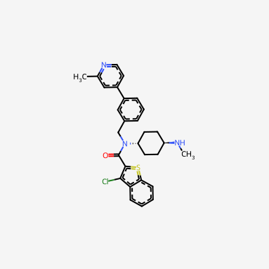 CN[C@H]1CC[C@H](N(Cc2cccc(-c3ccnc(C)c3)c2)C(=O)c2sc3ccccc3c2Cl)CC1